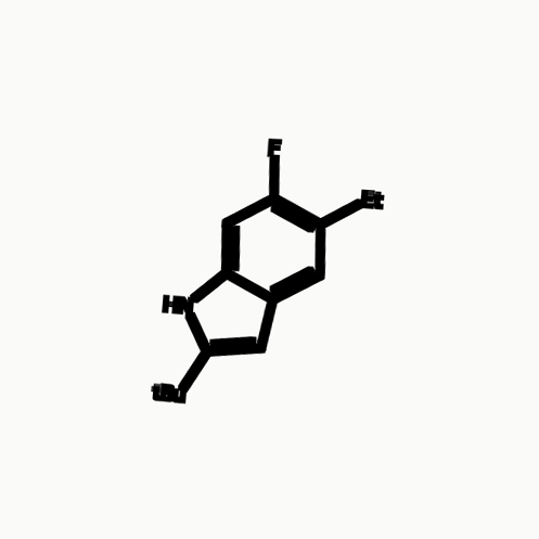 CCc1cc2cc(C(C)(C)C)[nH]c2cc1F